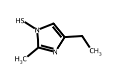 CCc1cn(S)c(C)n1